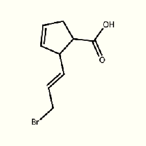 O=C(O)C1CC=CC1C=CCBr